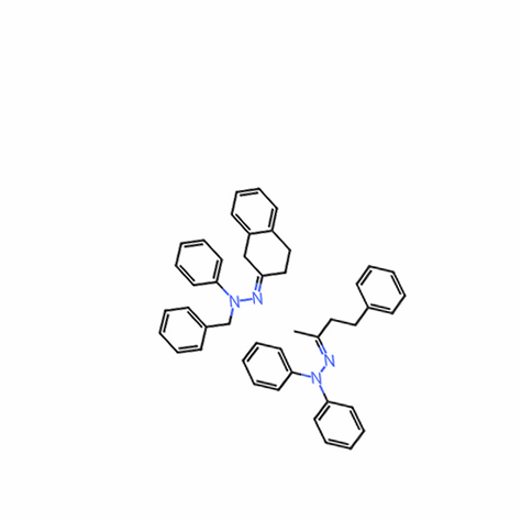 CC(CCc1ccccc1)=NN(c1ccccc1)c1ccccc1.c1ccc(CN(N=C2CCc3ccccc3C2)c2ccccc2)cc1